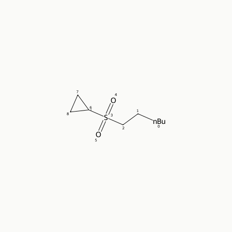 CCCCCCS(=O)(=O)[C]1CC1